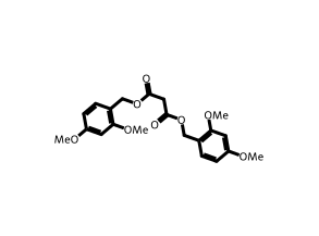 COc1ccc(COC(=O)CC(=O)OCc2ccc(OC)cc2OC)c(OC)c1